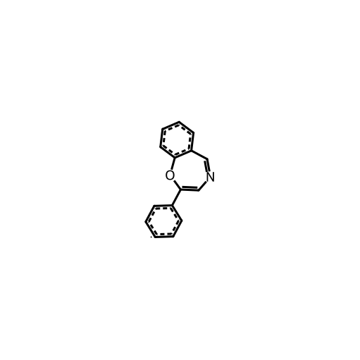 [c]1ccc(C2=CN=Cc3ccccc3O2)cc1